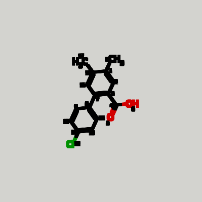 Cc1cc(C(=O)O)c(-c2ccc(Cl)cc2)cc1C